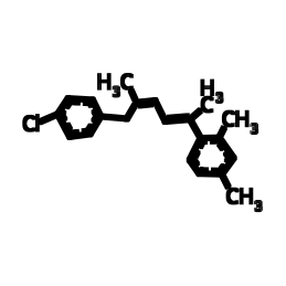 C/C(=C/C=C(\C)c1ccc(C)cc1C)Cc1ccc(Cl)cc1